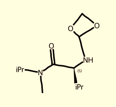 CC(C)[C@H](NC1OCO1)C(=O)N(C)C(C)C